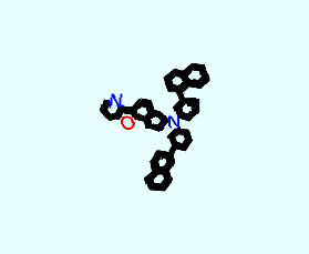 c1cc(-c2ccc3ccccc3c2)cc(N(c2cccc(-c3cccc4ccccc34)c2)c2ccc3c(ccc4c5ncccc5oc34)c2)c1